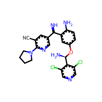 N#Cc1cc(C(=N)c2cc(O[C@H](N)c3c(Cl)cncc3Cl)ccc2N)cnc1N1CCCC1